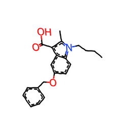 CCCCn1c(C)c(C(=O)O)c2cc(OCc3ccccc3)ccc21